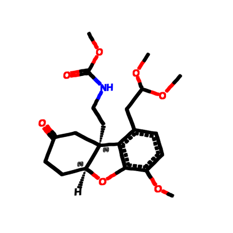 COC(=O)NCC[C@@]12CC(=O)CC[C@@H]1Oc1c(OC)ccc(CC(OC)OC)c12